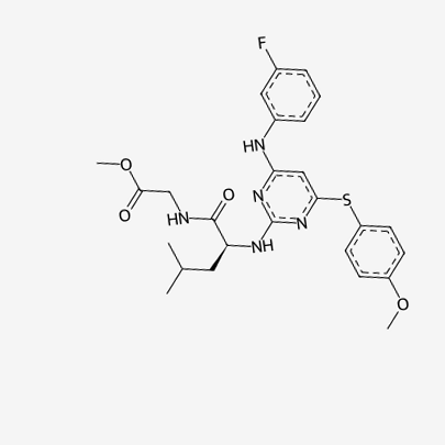 COC(=O)CNC(=O)[C@H](CC(C)C)Nc1nc(Nc2cccc(F)c2)cc(Sc2ccc(OC)cc2)n1